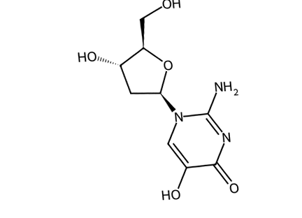 Nc1nc(=O)c(O)cn1[C@H]1C[C@H](O)[C@@H](CO)O1